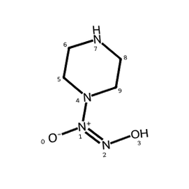 [O-]/[N+](=N/O)N1CCNCC1